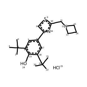 CC(C)(C)c1cc(-c2csc(CN3CCC3)n2)cc(C(C)(C)C)c1O.Cl